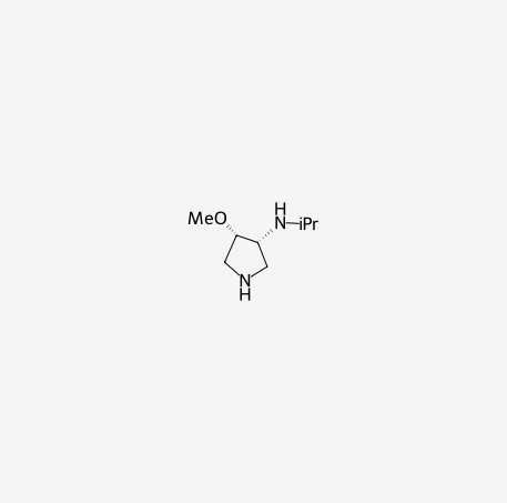 CO[C@H]1CNC[C@H]1NC(C)C